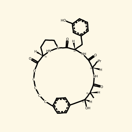 CC(C)[C@@H]1NC(=O)[C@H](C)[C@H](O)c2ccc(cc2)CCCCOC(=O)[C@@H]2CCCN(N2)C(=O)[C@H](Cc2cccc(O)c2)NC1=O